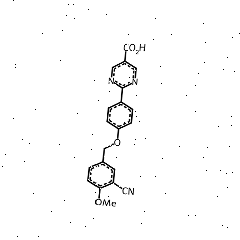 COc1ccc(COc2ccc(-c3ncc(C(=O)O)cn3)cc2)cc1C#N